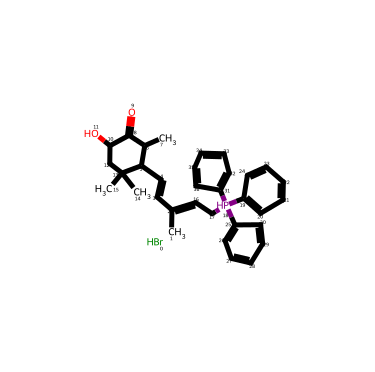 Br.CC(C=CC1C(C)C(=O)C(O)CC1(C)C)=CC[PH](c1ccccc1)(c1ccccc1)c1ccccc1